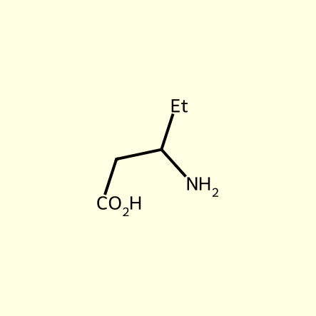 CCC(N)CC(=O)O